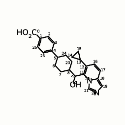 O=C(O)c1ccc(C2CCC(C(O)c3c(C4CC4)ccc4cncn34)CC2)cc1